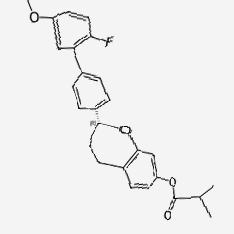 COc1ccc(F)c(-c2ccc([C@H]3CCc4ccc(OC(=O)C(C)C)cc4O3)cc2)c1